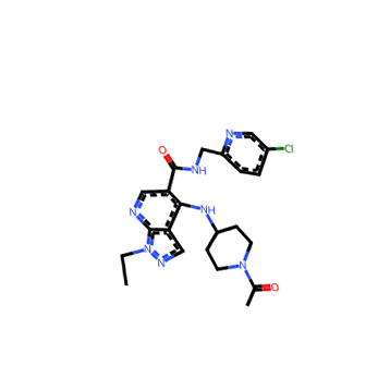 CCn1ncc2c(NC3CCN(C(C)=O)CC3)c(C(=O)NCc3ccc(Cl)cn3)cnc21